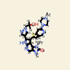 CC(=O)N1CCN(c2cc3sc(-c4c(-c5cnn(CC(C)(C)O)c5)[nH]c5ncc6c(c45)n(C(C)C)c(=O)n6C)cc3cn2)CC1